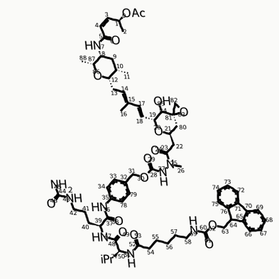 CC(=O)O[C@@H](C)/C=C\C(=O)N[C@@H]1C[C@H](C)[C@H](C/C=C(C)/C=C/[C@H]2O[C@H](CC(=O)N(C)NC(=O)OCc3ccc(NC(=O)[C@H](CCCNC(N)=O)NC(=O)[C@@H](NC(=O)CCCCCNC(=O)OCC4c5ccccc5-c5ccccc54)C(C)C)cc3)C[C@@]3(CO3)[C@@H]2O)O[C@@H]1C